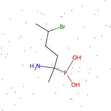 CC(Br)CCC(C)(N)P(O)O